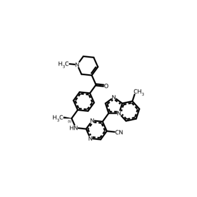 Cc1cccn2c(-c3nc(N[C@@H](C)c4ccc(C(=O)C5=CCCN(C)C5)cc4)ncc3C#N)cnc12